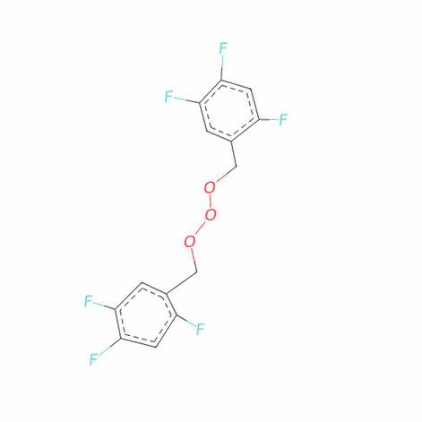 Fc1cc(F)c(COOOCc2cc(F)c(F)cc2F)cc1F